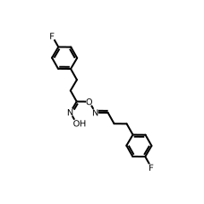 ON=C(CCc1ccc(F)cc1)ON=CCCc1ccc(F)cc1